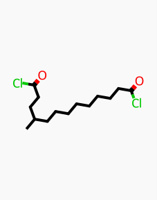 CC(CCCCCCCCC(=O)Cl)CCC(=O)Cl